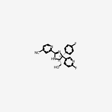 N#Cc1ccnc(C2=N[C@@](c3ccc(F)cc3)(c3ccc(F)nc3)[C@H](CO)N2)c1